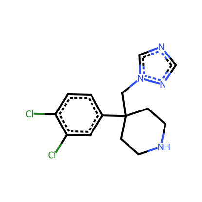 Clc1ccc(C2(Cn3cncn3)CCNCC2)cc1Cl